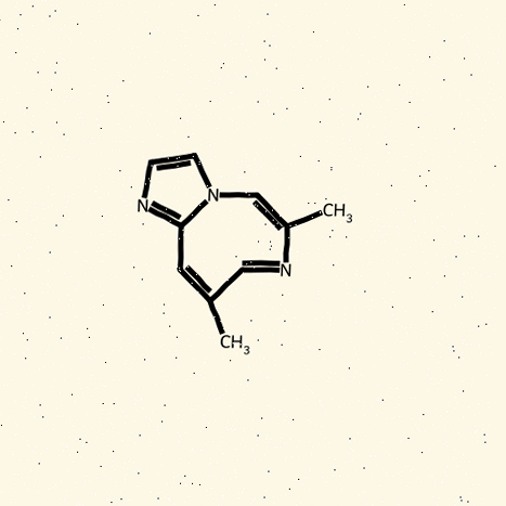 CC1=C\c2nccn2\C=C(C)/N=C/1